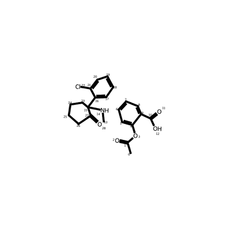 CC(=O)Oc1ccccc1C(=O)O.CNC1(c2ccccc2Cl)CCCCC1=O